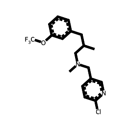 CC(Cc1cccc(OC(F)(F)F)c1)CN(C)Cc1ccc(Cl)nc1